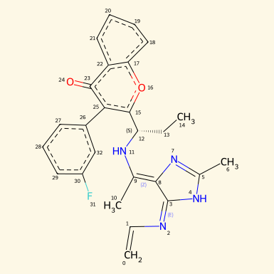 C=C/N=C1/NC(C)=N/C1=C(/C)N[C@@H](CC)c1oc2ccccc2c(=O)c1-c1cccc(F)c1